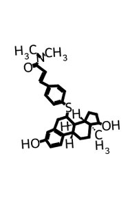 CN(C)C(=O)/C=C/c1ccc(SC2Cc3cc(O)ccc3[C@H]3CC[C@]4(C)C(O)CC[C@H]4[C@H]23)cc1